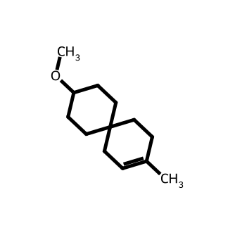 COC1CCC2(CC=C(C)CC2)CC1